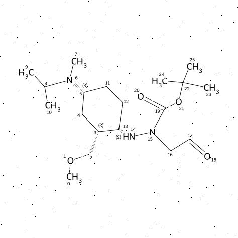 COC[C@@H]1C[C@H](N(C)C(C)C)CC[C@@H]1NN(CC=O)C(=O)OC(C)(C)C